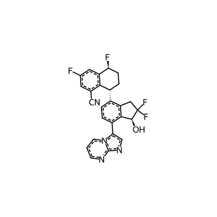 N#Cc1cc(F)cc2c1[C@@H](c1ccc(-c3cnc4ncccn34)c3c1CC(F)(F)[C@H]3O)CC[C@@H]2F